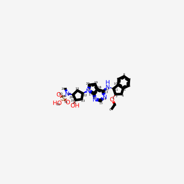 CCO[C@H]1Cc2ccccc2[C@H]1Nc1ncnc2c1ccn2[C@H]1C[C@H](O)[C@@H](N(C)S(=O)(=O)O)C1